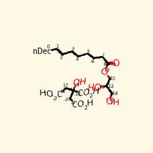 CCCCCCCCCCCCCCCCCC(=O)OCC(O)CO.O=C(O)CC(O)(CC(=O)O)C(=O)O